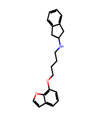 c1ccc2c(c1)CC(NCCCCOc1cccc3ccoc13)C2